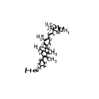 CCC(O)(/C=C/c1ccc(C(CC)(CC)c2ccc(-c3ccc(CCOO)c(F)c3)c(C)c2)cc1C)CC